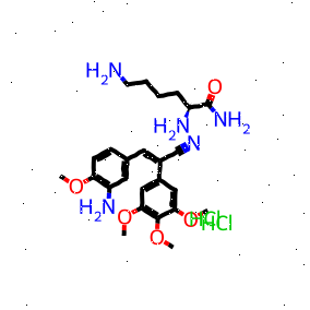 COc1ccc(/C=C(/C#N)c2cc(OC)c(OC)c(OC)c2)cc1N.Cl.Cl.NCCCC[C@H](N)C(N)=O